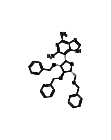 Nc1nc(N)c2nc[nH]c2c1[C@@H]1O[C@H](COCc2ccccc2)[C@@H](OCc2ccccc2)[C@@H]1OCc1ccccc1